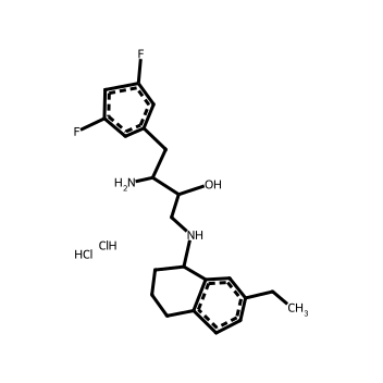 CCc1ccc2c(c1)C(NCC(O)C(N)Cc1cc(F)cc(F)c1)CCC2.Cl.Cl